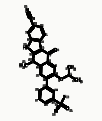 CC(C)Oc1cc2c(=O)c3c4ccc(C#N)cc4[nH]c3n(C)c2cc1-c1cccc(S(=O)(=O)F)c1